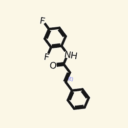 O=C(/C=C/c1ccccc1)Nc1ccc(F)cc1F